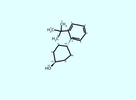 CC(C)(C)c1ccccc1[C@H]1CC[C@H](O)CC1